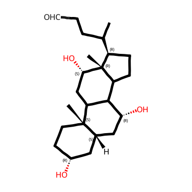 CC(CCC=O)[C@H]1CCC2C3C(C[C@H](O)[C@@]21C)[C@@]1(C)CC[C@@H](O)C[C@H]1C[C@H]3O